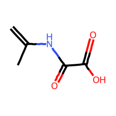 C=C(C)NC(=O)C(=O)O